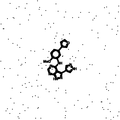 COc1ccc(-c2ccoc2)cc1Nc1ncnc2[nH]nc(-c3cn[nH]c3)c12